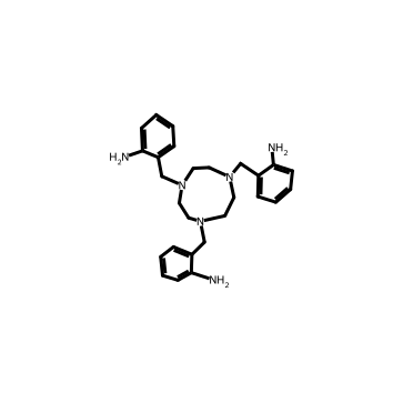 Nc1ccccc1CN1CCN(Cc2ccccc2N)CCN(Cc2ccccc2N)CC1